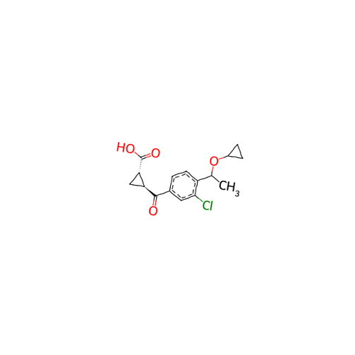 CC(OC1CC1)c1ccc(C(=O)[C@H]2C[C@@H]2C(=O)O)cc1Cl